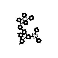 Cc1ccc2c(c1)c1cc(C)ccc1n2-c1ccc(-c2nc(-c3ccccc3)nc(-c3ccccc3)n2)cc1-c1ccc(-c2cccc(N3c4ccccc4B4c5ccccc5N(c5ccccc5)c5cccc3c54)c2)cc1